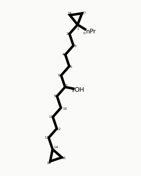 CCCC1(CCCCCC(O)CCCCCC2CC2)CC1